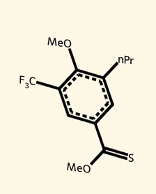 CCCc1cc(C(=S)OC)cc(C(F)(F)F)c1OC